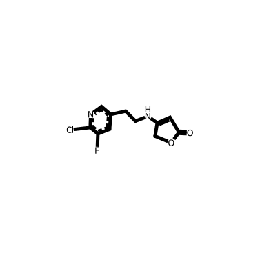 O=C1C=C(NCCc2cnc(Cl)c(F)c2)CO1